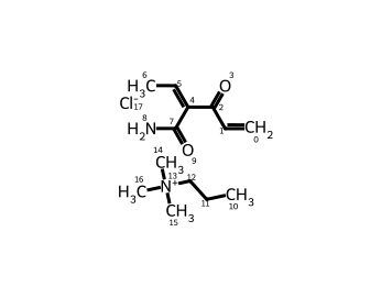 C=CC(=O)C(=CC)C(N)=O.CCC[N+](C)(C)C.[Cl-]